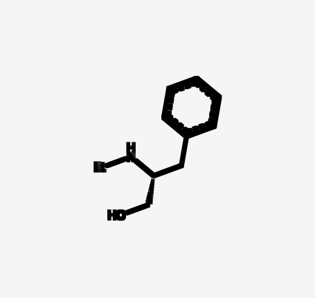 CCN[C@@H](CO)Cc1ccccc1